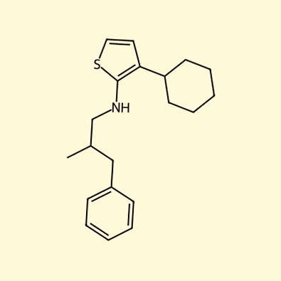 CC(CNc1sccc1C1CCCCC1)Cc1ccccc1